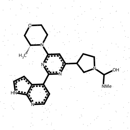 CNC(O)N1CCC(c2cc(N3CCOC[C@H]3C)nc(-c3ccnc4[nH]ccc34)n2)C1